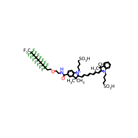 CC1(C)C(=CC=CC=CC=CC2=[N+](CCCCS(=O)(=O)O)c3ccc(C(=O)NCCOCCC(F)(F)C(F)(F)C(F)(F)C(F)(F)C(F)(F)C(F)(F)C(F)(F)C(F)(F)F)cc3C2(C)C)N(CCCCS(=O)(=O)O)c2ccccc21